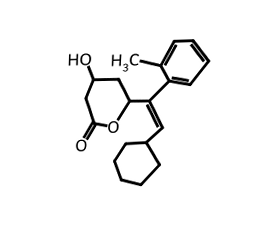 Cc1ccccc1C(=CC1CCCCC1)C1CC(O)CC(=O)O1